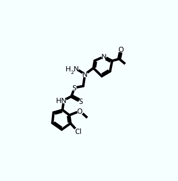 COc1c(Cl)cccc1NC(=S)SCN(N)c1ccc(C(C)=O)nc1